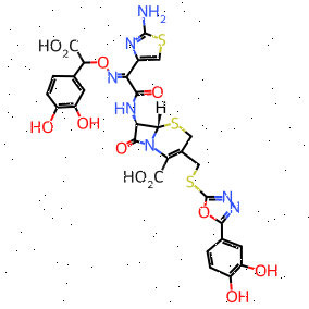 Nc1nc(C(=NOC(C(=O)O)c2ccc(O)c(O)c2)C(=O)N[C@@H]2C(=O)N3C(C(=O)O)=C(CSc4nnc(-c5ccc(O)c(O)c5)o4)CS[C@@H]23)cs1